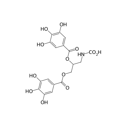 O=C(O)NCC(COC(=O)c1cc(O)c(O)c(O)c1)OC(=O)c1cc(O)c(O)c(O)c1